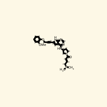 COc1ccccc1OCC#Cc1cc2c(NC3CCN(C(=O)C=CCN(C)C)C3)ncnc2[nH]1